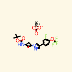 CC(C)(C)OC(=O)NC12CC(n3cc(-c4ccc(OC(F)(F)F)c(F)c4)cn3)(C1)C2.O=C([O-])[O-].[K+].[K+]